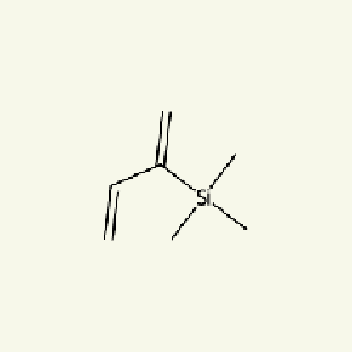 C=CC(=C)[Si](C)(C)C